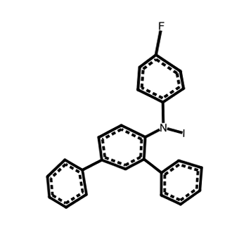 Fc1ccc(N(I)c2ccc(-c3ccccc3)cc2-c2ccccc2)cc1